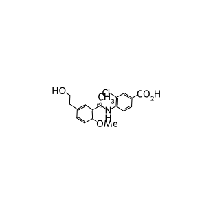 COc1ccc(CCO)cc1[C@H](C)Nc1ccc(C(=O)O)cc1Cl